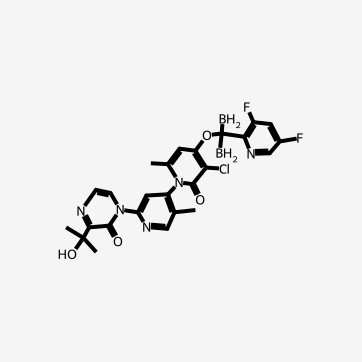 BC(B)(Oc1cc(C)n(-c2cc(-n3ccnc(C(C)(C)O)c3=O)ncc2C)c(=O)c1Cl)c1ncc(F)cc1F